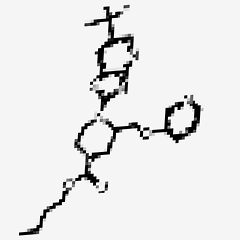 CCCCOC(=O)N1CCN(c2nc3ncc(C(F)(F)F)cc3s2)C(COc2cccnc2)C1